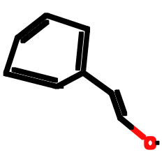 [O]C=Cc1[c]cccc1